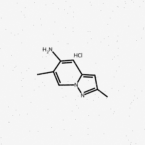 Cc1cc2cc(N)c(C)cn2n1.Cl